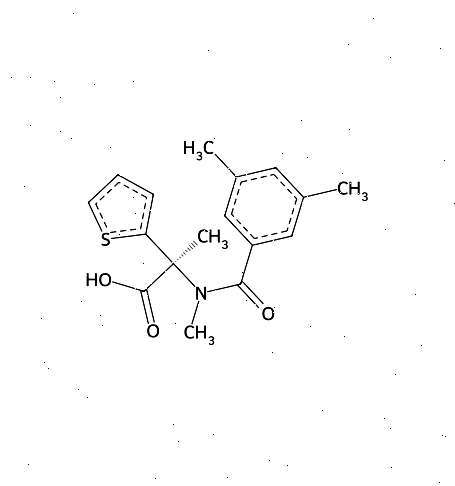 Cc1cc(C)cc(C(=O)N(C)[C@@](C)(C(=O)O)c2cccs2)c1